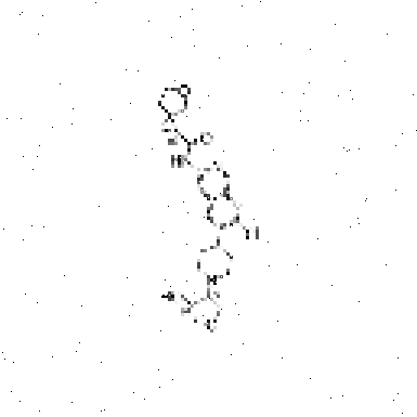 O=C(Nc1cc2cc(C3CCN([C@H]4COC[C@H]4O)CC3)c(Cl)cc2cn1)[C@H]1CC12CCOC2